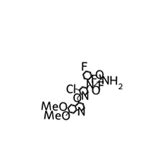 COc1cc2nccc(Oc3ncc(N(C(=O)C(F)(F)C(N)=O)c4ccc(F)cc4)cc3Cl)c2cc1OC